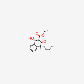 CCOC(=O)C1=C(O)c2ccccc2C(C)(CC[C@@H](C)CC)C1=O